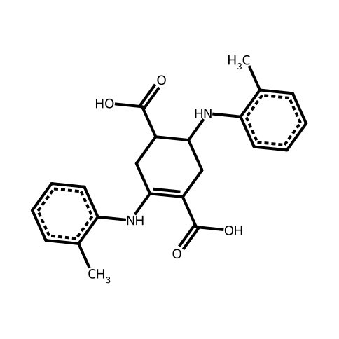 Cc1ccccc1NC1=C(C(=O)O)CC(Nc2ccccc2C)C(C(=O)O)C1